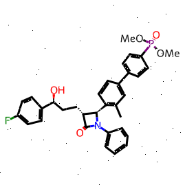 COP(=O)(OC)c1ccc(-c2ccc([C@@H]3[C@@H](CC[C@H](O)c4ccc(F)cc4)C(=O)N3c3ccccc3)c(C)c2)cc1